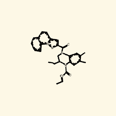 CCOC(=O)N1c2cc(C)c(C)cc2N(C(=O)c2cc3ccc4ccccc4n3n2)CC1CC